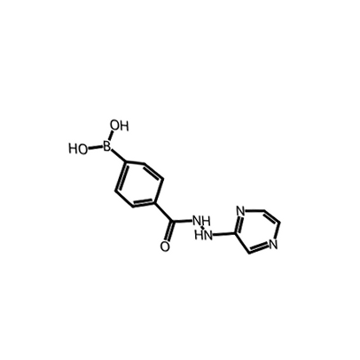 O=C(NNc1cnccn1)c1ccc(B(O)O)cc1